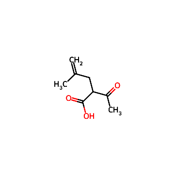 C=C(C)CC(C(C)=O)C(=O)O